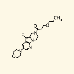 CCCOCCC(=O)N1CCn2c(c(F)c3cc(N4CCOCC4)cnc32)C1